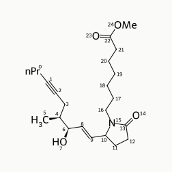 CCCC#CC[C@H](C)[C@H](O)C=CC1CCC(=O)N1CCCCCCC(=O)OC